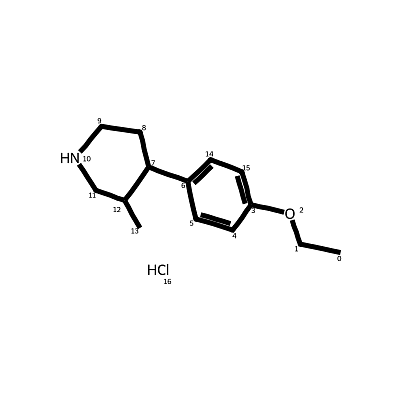 CCOc1ccc(C2CCNCC2C)cc1.Cl